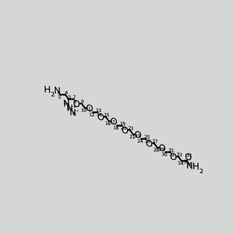 [N-]=[N+]=NC(CCN)COCCOCCOCCOCCOCCOCCOCCOCCOCCC(N)=O